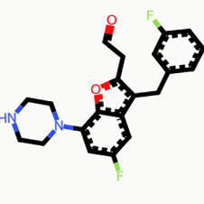 O=CCc1oc2c(N3CCNCC3)cc(F)cc2c1Cc1cccc(F)c1